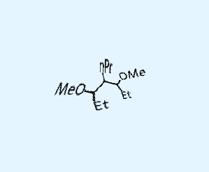 CCCC(C(CC)OC)C(CC)OC